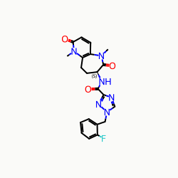 CN1C(=O)[C@@H](NC(=O)c2ncn(Cc3ccccc3F)n2)CCc2c1ccc(=O)n2C